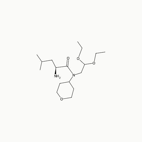 CCOC(CN(C(=O)[C@@H](N)CC(C)C)C1CCOCC1)OCC